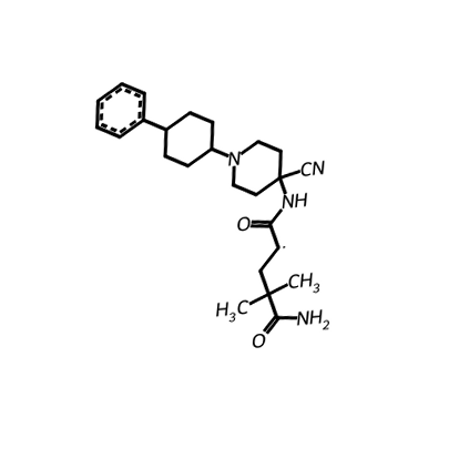 CC(C)(C[CH]C(=O)NC1(C#N)CCN(C2CCC(c3ccccc3)CC2)CC1)C(N)=O